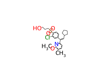 COc1nc(C(=CC2CCCC2)c2ccc(S(=O)(=O)CCCO)c(Cl)c2)ccc1C